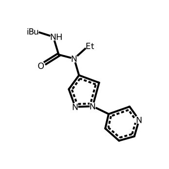 CCC(C)NC(=O)N(CC)c1cnn(-c2cccnc2)c1